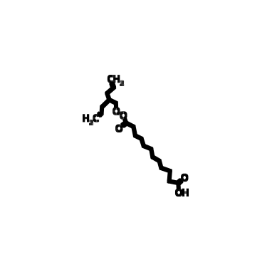 C=CCC(CC=C)COOC(=O)CCCCCCCCCCC(=O)O